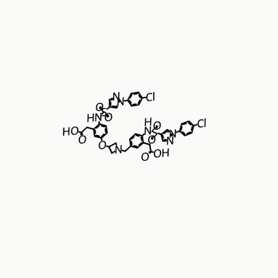 O=C(O)Cc1cc(CN2CC(Oc3ccc(NS(=O)(=O)c4cnn(-c5ccc(Cl)cc5)c4)c(CC(=O)O)c3)C2)ccc1NS(=O)(=O)c1cnn(-c2ccc(Cl)cc2)c1